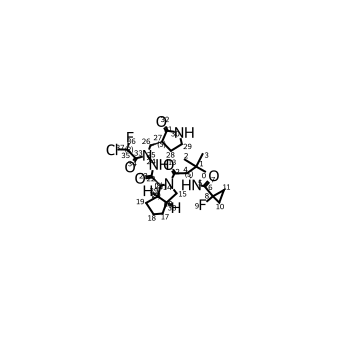 CC(C)(C)[C@H](NC(=O)C1(F)CC1)C(=O)N1C[C@@H]2CCC[C@@H]2[C@H]1C(=O)NN(C[C@@H]1CCNC1=O)C(=O)[C@H](F)Cl